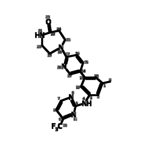 Cc1cc(Nc2nccc(C(F)(F)F)n2)cc(-c2ccc(N3CCNC(=O)CC3)nc2)c1